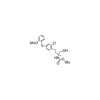 COc1ccccc1Sc1ccc(CCC(C)(CO)NC(=O)OC(C)(C)C)c(Cl)c1